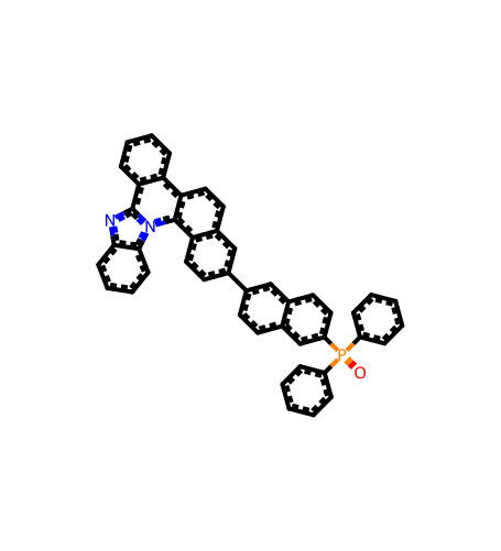 O=P(c1ccccc1)(c1ccccc1)c1ccc2cc(-c3ccc4c(ccc5c6ccccc6c6nc7ccccc7n6c45)c3)ccc2c1